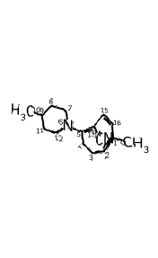 CC1=C/CC/C(N2CCC(C)CC2)=C(C#N)/C=C\1